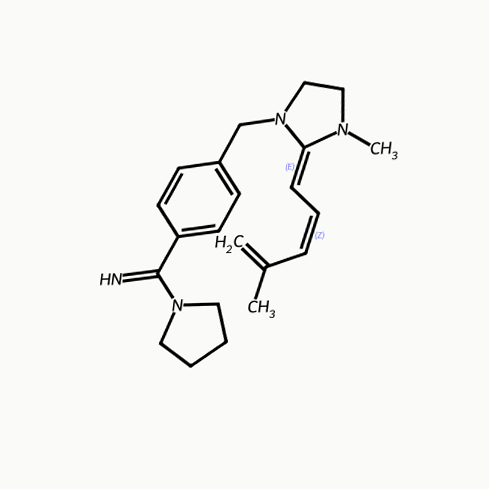 C=C(C)/C=C\C=C1/N(C)CCN1Cc1ccc(C(=N)N2CCCC2)cc1